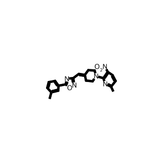 Cc1cccc(-c2nc(C=C3CCN(c4nc(C)ccc4[N+](=O)[O-])CC3)no2)c1